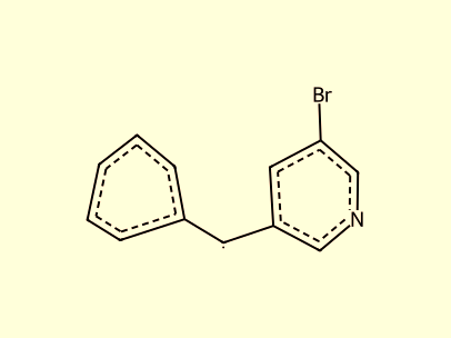 Brc1cncc([CH]c2ccccc2)c1